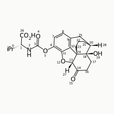 CC(C)[C@@H](NC(=O)Oc1ccc2c3c1O[C@H]1C(=O)CC[C@@]4(O)[C@H](CCC[C@]314)C2)C(=O)O